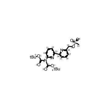 CC(C)(C)OC(=O)N(C(=O)OC(C)(C)C)c1cccc(-c2cccc(COS(C)(=O)=O)n2)n1